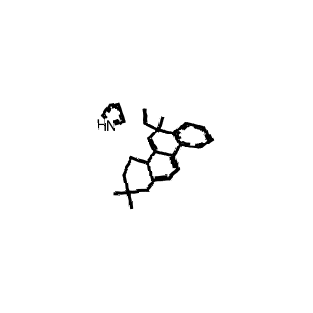 C=CC1(C)C=C2C(=CC=C3CC(C)(C)CCC32)c2ccccc21.c1cc[nH]c1